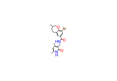 Cc1cc(C)c(CNC(=O)c2cc(Br)c3c(c2)CCC(C)CO3)c(=O)[nH]1